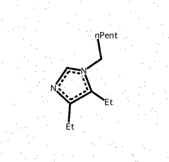 CCCCCCn1cnc(CC)c1CC